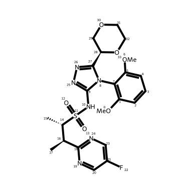 COc1cccc(OC)c1-n1c(NS(=O)(=O)[C@@H](C)[C@H](C)c2ncc(F)cn2)nnc1[C@H]1COCCO1